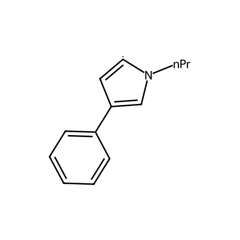 CCCn1[c]cc(-c2ccccc2)c1